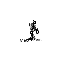 CCCCCN(CCCOC)C(=O)COc1cccc(N(CC(=O)N(C)c2ccccc2)C(=O)CNC(=O)Nc2cccc(C)c2)c1